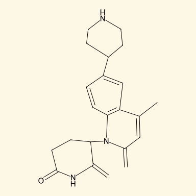 C=C1NC(=O)CCC1N1C(=C)C=C(C)c2cc(C3CCNCC3)ccc21